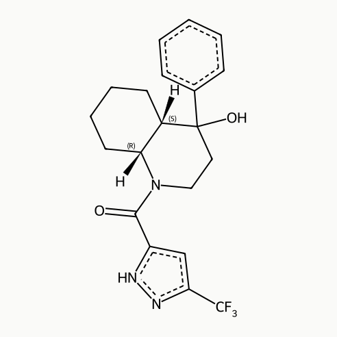 O=C(c1cc(C(F)(F)F)n[nH]1)N1CCC(O)(c2ccccc2)[C@H]2CCCC[C@H]21